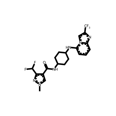 Cn1cc(C(=O)NC2CCC(Nc3cccc4nc(C(F)(F)F)cn34)CC2)c(C(F)F)n1